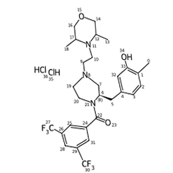 Cc1ccc(C[C@@H]2CN(CCN3C(C)COCC3C)CCN2C(=O)c2cc(C(F)(F)F)cc(C(F)(F)F)c2)cc1O.Cl.Cl